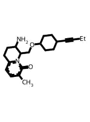 CCC#CC1CCC(OCC2C(N)CCc3ccc(C)c(=O)n32)CC1